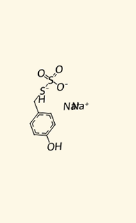 O=S(=O)([O-])[SH-]Cc1ccc(O)cc1.[Na+].[Na+]